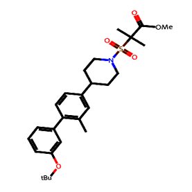 COC(=O)C(C)(C)S(=O)(=O)N1CCC(c2ccc(-c3cccc(OC(C)(C)C)c3)c(C)c2)CC1